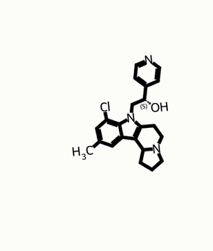 Cc1cc(Cl)c2c(c1)c1c(n2C[C@@H](O)c2ccncc2)CCN2CCCC12